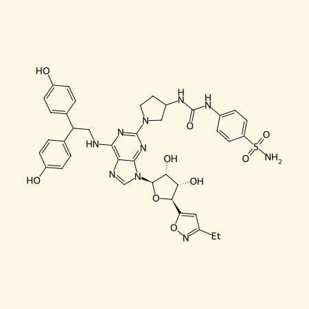 CCc1cc([C@H]2O[C@@H](n3cnc4c(NCC(c5ccc(O)cc5)c5ccc(O)cc5)nc(N5CCC(NC(=O)Nc6ccc(S(N)(=O)=O)cc6)C5)nc43)[C@H](O)[C@@H]2O)on1